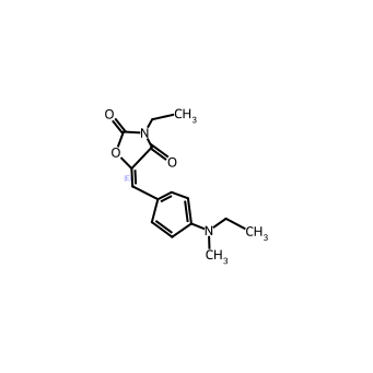 CCN1C(=O)O/C(=C/c2ccc(N(C)CC)cc2)C1=O